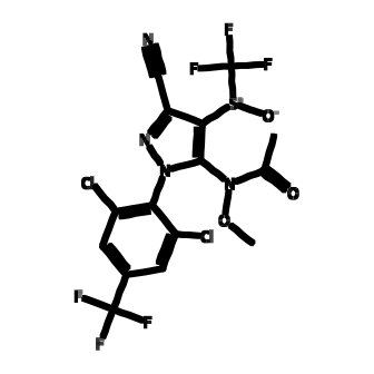 CON(C(C)=O)c1c([S+]([O-])C(F)(F)F)c(C#N)nn1-c1c(Cl)cc(C(F)(F)F)cc1Cl